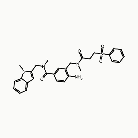 CN(Cc1cc(C(=O)N(C)Cc2cc3ccccc3n2C)ccc1N)C(=O)CCS(=O)(=O)c1ccccc1